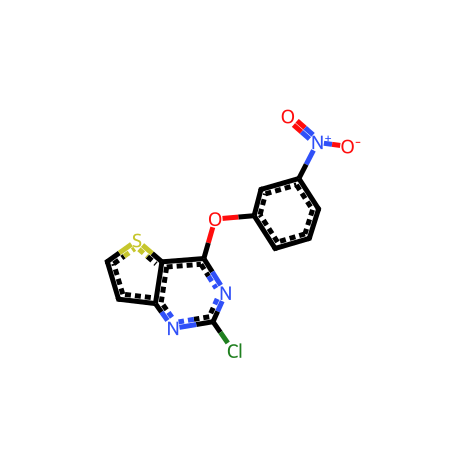 O=[N+]([O-])c1cccc(Oc2nc(Cl)nc3ccsc23)c1